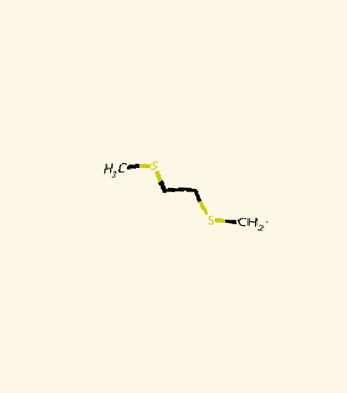 [CH2]SCCSC